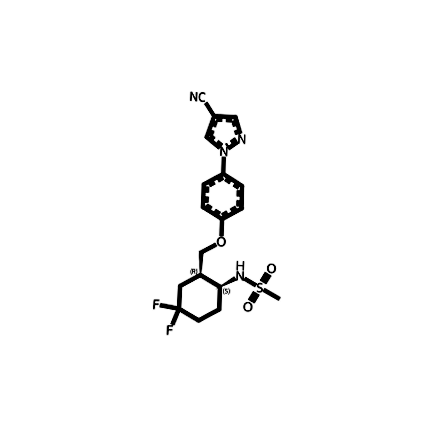 CS(=O)(=O)N[C@H]1CCC(F)(F)C[C@H]1COc1ccc(-n2cc(C#N)cn2)cc1